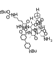 CCCCc1ccc(-c2ccc(OC(=O)N[C@@H](CCCCNC(=O)OC(C)(C)C)C(=O)N[C@H](C(=O)N[C@@H](C)C(=O)N[C@@H](CC(N)=O)C(=O)N[C@@H](C)B3OC4C[C@@H]5C[C@@H](C5(C)C)[C@]4(C)O3)[C@@H](C)O)cc2)cc1